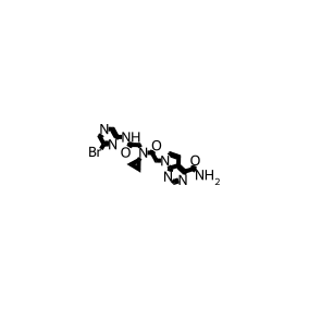 NC(=O)c1ncnc2c1ccn2CC(=O)N(CC(=O)Nc1cncc(Br)n1)C1CC1